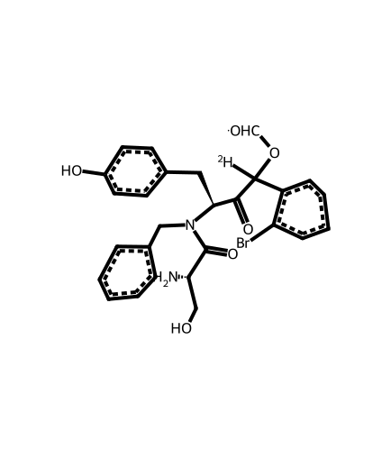 [2H]C(O[C]=O)(C(=O)[C@H](Cc1ccc(O)cc1)N(Cc1ccccc1)C(=O)[C@@H](N)CO)c1ccccc1Br